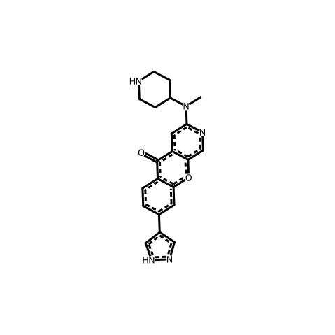 CN(c1cc2c(=O)c3ccc(-c4cn[nH]c4)cc3oc2cn1)C1CCNCC1